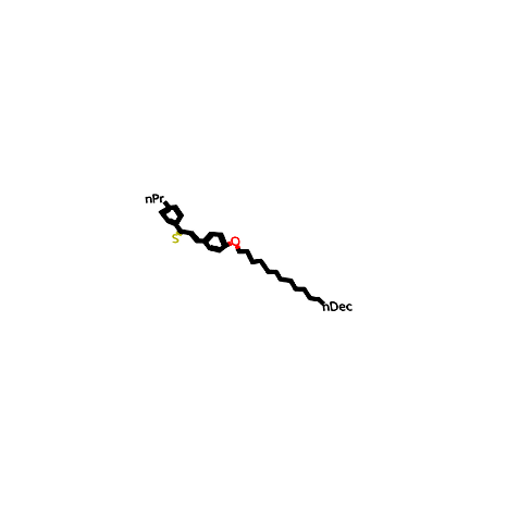 CCCCCCCCCCCCCCCCCCCCCCOc1ccc(C=CC(=S)c2ccc(CCC)cc2)cc1